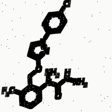 NNC(=O)N(N)c1cccc(C(F)(F)F)c1COc1ccn(-c2ccc(Cl)cc2)n1